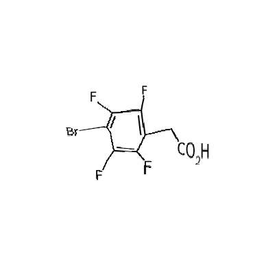 O=C(O)Cc1c(F)c(F)c(Br)c(F)c1F